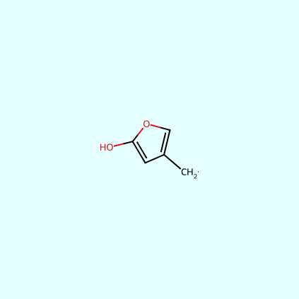 [CH2]c1coc(O)c1